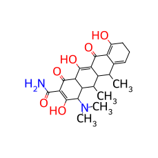 CC1C2=CCCC(O)=C2C(=O)C2=C(O)C3C(=O)C(C(N)=O)=C(O)C(N(C)C)C3C(C)C21